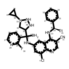 BC(Nc1cc(Cl)c2ncc(C#N)c(N[C@H](CC)c3ccccc3)c2c1)(c1cccnc1F)C1CN(C2CC2)NN1